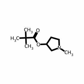 CN1CCC(OC(=O)C(C)(C)C)C1